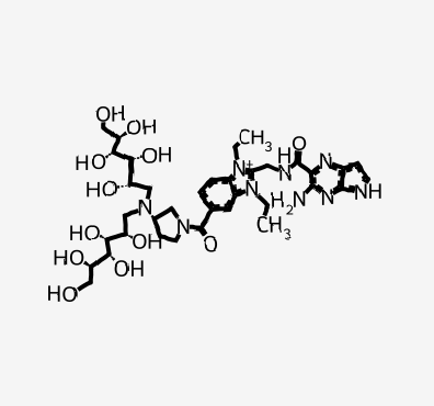 CCn1c(CNC(=O)c2nc3cc[nH]c3nc2N)[n+](CC)c2ccc(C(=O)N3CC[C@H](N(C[C@H](O)[C@@H](O)[C@H](O)[C@H](O)CO)C[C@H](O)[C@@H](O)[C@H](O)[C@H](O)CO)C3)cc21